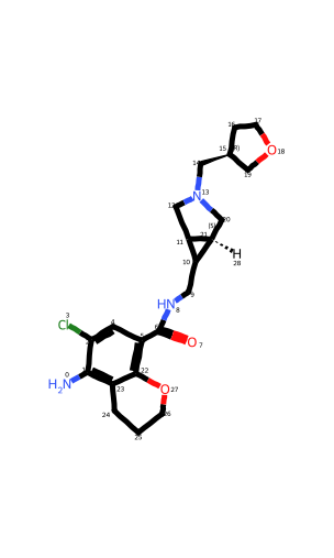 Nc1c(Cl)cc(C(=O)NCC2C3CN(C[C@H]4CCOC4)C[C@@H]23)c2c1CCCO2